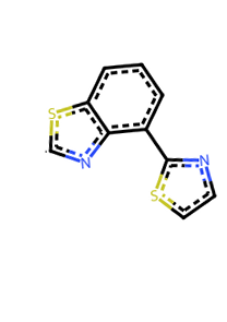 [c]1nc2c(-c3nccs3)cccc2s1